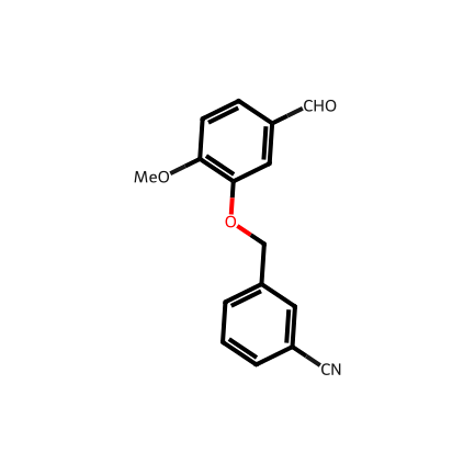 COc1ccc(C=O)cc1OCc1cccc(C#N)c1